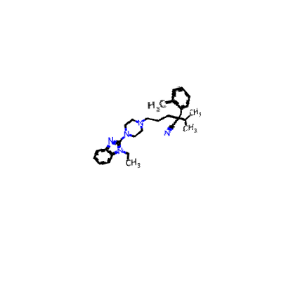 CCn1c(N2CCN(CCCC(C#N)(c3ccccc3C)C(C)C)CC2)nc2ccccc21